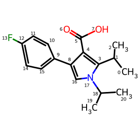 CC(C)c1c(C(=O)O)c(-c2ccc(F)cc2)cn1C(C)C